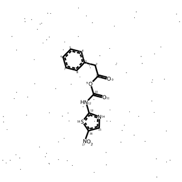 O=C(Cc1ccccc1)OC(=O)Nc1ncc([N+](=O)[O-])s1